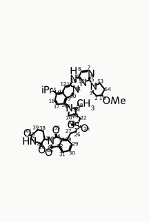 COC1CCN(c2nccc(Nc3cc4c(C(C)C)ccc(N5C[C@H](CS(=O)(=O)CCc6cccc7c6C(=O)N(C6CCC(=O)NC6=O)C7=O)[C@H]5C)c4cn3)n2)CC1